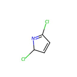 Cl[C]1C=CC(Cl)=N1